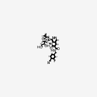 Cn1c(=O)c(C(=O)NCc2ccc(C#N)c(F)c2)cc2cnnc(OCC3(S(=O)(=O)C(C)(C)C(O)CO)CC3)c21